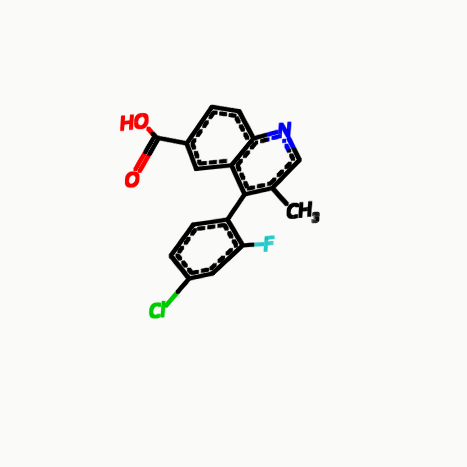 Cc1cnc2ccc(C(=O)O)cc2c1-c1ccc(Cl)cc1F